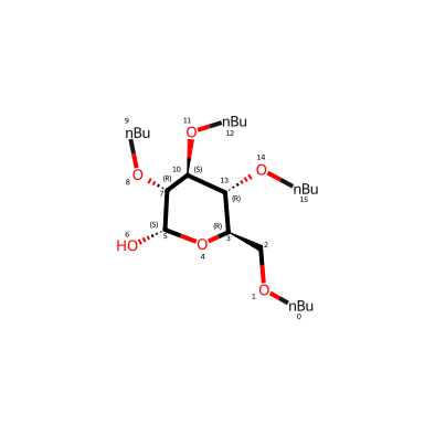 CCCCOC[C@H]1O[C@H](O)[C@H](OCCCC)[C@@H](OCCCC)[C@@H]1OCCCC